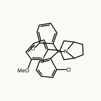 COc1cccc(C2CC3CCC(C2)N3C(c2ccccc2Cl)c2ccccc2Cl)n1